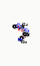 CN(C)C1(CNC(=O)c2nc(NC(=O)N[C@H]3CC[C@@H](Oc4ccc5nnc(C(C)(C)C)n5c4)c4ccccc43)cc(C(C)(C)C)n2)CCCCC1